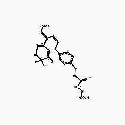 CN/C=C(\C=N/Cc1ccc(CCC(=O)NCC(=O)O)cc1)C1=CCC(C)(C)C(C)=C1